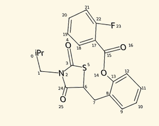 CC(C)CN1C(=O)SC(Cc2ccccc2OC(=O)c2ccccc2F)C1=O